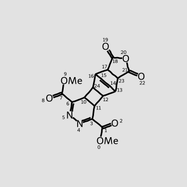 COC(=O)C1=NN=C(C(=O)OC)C2C1C1C3C=CC(C4C(=O)OC(=O)C34)C21